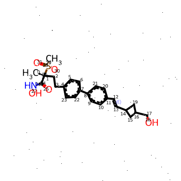 C[C@@](CCc1ccc(-c2ccc(/C=C/C3CC(CO)C3)cc2)cc1)(C(=O)NO)S(C)(=O)=O